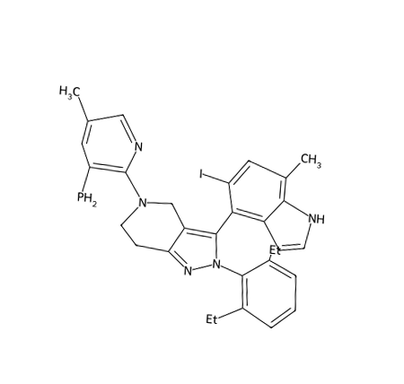 CCc1cccc(CC)c1-n1nc2c(c1-c1c(I)cc(C)c3[nH]ccc13)CN(c1ncc(C)cc1P)CC2